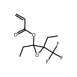 C=CC(=O)OC1(CC)OC1(CC)C(F)(F)F